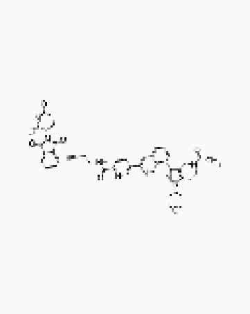 CC(=O)N1CCc2c(c(-c3cccc4cc(-c5ccc(C(=O)NCCC#Cc6cccc7c6C(=O)N(C6CCC(=O)NC6=O)C7=O)nc5)ncc34)nn2C2CCOCC2)C1